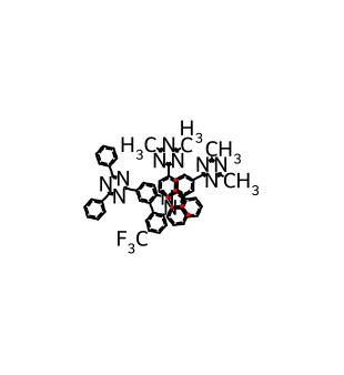 Cc1nc(C)nc(-c2ccc3c(c2)c2ccccc2n3-c2ccc(-c3nc(-c4ccccc4)nc(-c4ccccc4)n3)cc2-c2cc(C(F)(F)F)ccc2-n2c3ccccc3c3cc(-c4nc(C)nc(C)n4)ccc32)n1